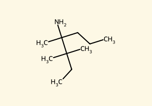 CCCC(C)(N)C(C)(C)CC